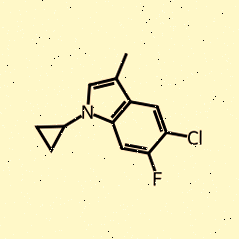 Cc1cn(C2CC2)c2cc(F)c(Cl)cc12